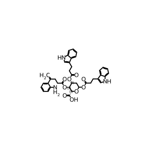 C=C(CCC(=O)O[C@@H]1[C@@H](C(=O)O)OC(OC(=O)CCc2c[nH]c3ccccc23)C[C@H]1OC(=O)CCc1c[nH]c2ccccc12)c1ccccc1N